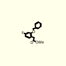 COC(=O)Cc1ccc(F)cc1OCc1ccccc1